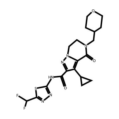 O=C(Nc1nnc(C(F)F)s1)c1nn2c(c1C1CC1)C(=O)N(CC1CCOCC1)CC2